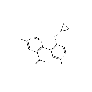 Cc1cc(C(N)=O)c(-c2cc(Cl)ccc2NC2CC2)nn1